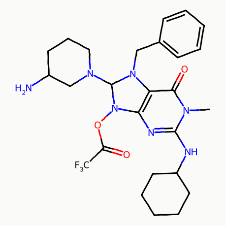 Cn1c(NC2CCCCC2)nc2c(c1=O)N(Cc1ccccc1)C(N1CCCC(N)C1)N2OC(=O)C(F)(F)F